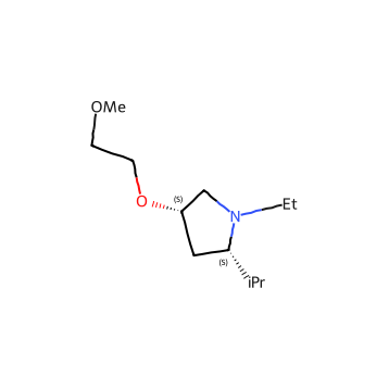 CCN1C[C@@H](OCCOC)C[C@H]1C(C)C